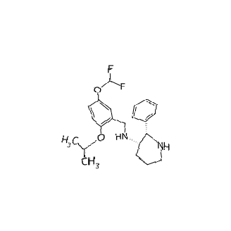 CC(C)Oc1ccc(OC(F)F)cc1CN[C@H]1CCCN[C@H]1c1ccccc1